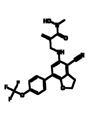 C=C(CNc1cc(-c2ccc(OC(F)(F)F)cc2)c2c(c1C#N)CCO2)C(=O)N(C)O